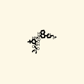 CCN(CC)C(=O)C(=O)Nc1cc(C(C)(C)C)cc(NC(=O)Nc2ccc(-c3ccc(CN(C)C)nc3)c3ccccc23)c1OC